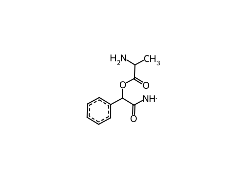 CC(N)C(=O)OC(C([NH])=O)c1ccccc1